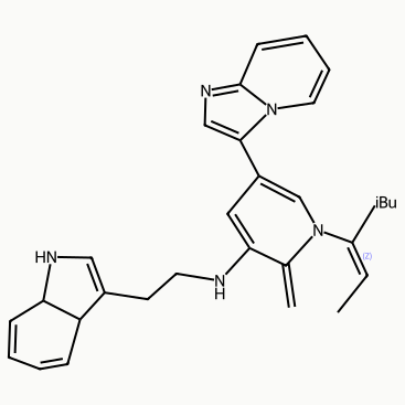 C=C1C(NCCC2=CNC3C=CC=CC23)=CC(c2cnc3ccccn23)=CN1/C(=C\C)C(C)CC